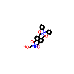 O=C1c2ccc3c4c(ccc(c24)C(=O)N1NCCO)C(=O)N(N(c1ccccc1)c1ccccc1)C3=O